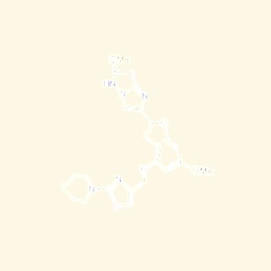 COc1cc(OCc2csc(N3CCOCC3)n2)c2cc(-c3cn4c(n3)SC(OC)N4)oc2c1